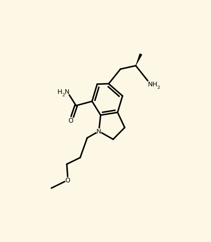 COCCCN1CCc2cc(C[C@@H](C)N)cc(C(N)=O)c21